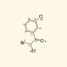 CCC(Br)C(=O)c1cccc(Cl)c1